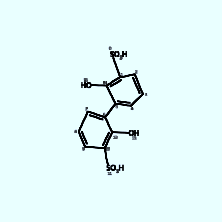 O=S(=O)(O)c1cccc(-c2cccc(S(=O)(=O)O)c2O)c1O